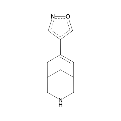 C1=C(c2cnoc2)CC2CNCC1C2